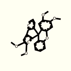 COc1cc2c(cc1OC)C1(c3ccccc3O2)c2ccccc2-c2cc(OC)c(OC)cc21